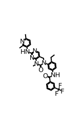 CCc1ccc(NC(=O)c2cccc(C(F)(F)F)c2)cc1N1Cc2cnc(Nc3ccc(C)nc3C)nc2N(C)C1=O